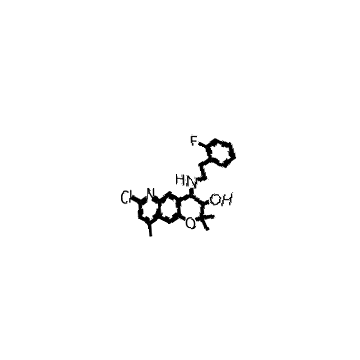 Cc1cc(Cl)nc2cc3c(cc12)OC(C)(C)C(O)C3NCCc1ccccc1F